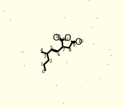 CCCC(C)C=CC1CC(=O)OC1=O